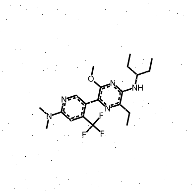 CCc1nc(-c2cnc(N(C)C)cc2C(F)(F)F)c(OC)nc1NC(CC)CC